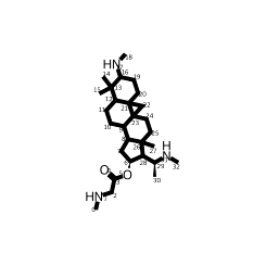 CNCC(=O)O[C@@H]1CC2C3CCC4C(C)(C)C(NC)CCC45CC35CCC2(C)C1[C@H](C)NC